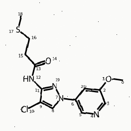 COc1cncc(-n2cc(Cl)c(NC(=O)CCSC)n2)c1